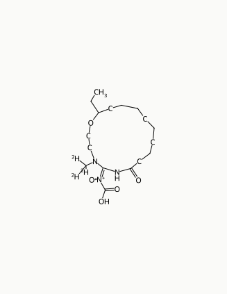 [2H]C([2H])([2H])N1CCOC(CC)CCCCCCCCC(=O)N/C1=[N+](/[O-])C(=O)O